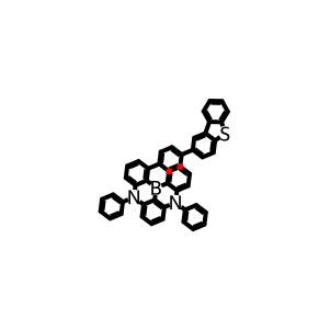 c1ccc(N2c3ccccc3B3c4c(-c5ccc(-c6ccc7sc8ccccc8c7c6)cc5)cccc4N(c4ccccc4)c4cccc2c43)cc1